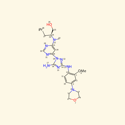 COc1cc(N2CCOCC2)ccc1Nc1nc(N)n(-c2cc(N(C)[C@H](CO)CC(C)C)ncn2)n1